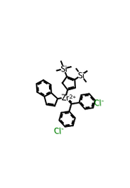 C[Si](C)(C)C1=C([Si](C)(C)C)C[C]([Zr+2](=[C](c2ccccc2)c2ccccc2)[CH]2C=Cc3ccccc32)=C1.[Cl-].[Cl-]